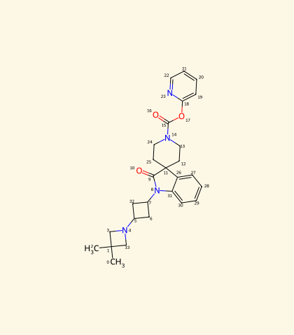 CC1(C)CN(C2CC(N3C(=O)C4(CCN(C(=O)Oc5ccccn5)CC4)c4ccccc43)C2)C1